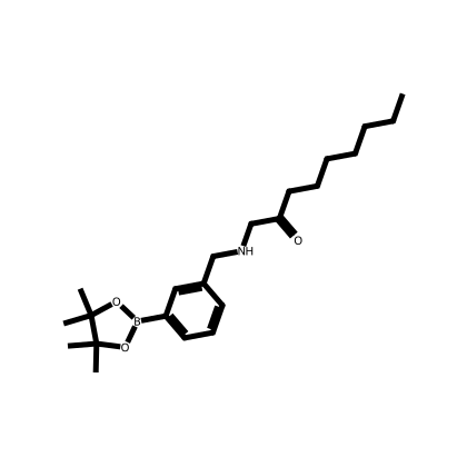 CCCCCCCC(=O)CNCc1cccc(B2OC(C)(C)C(C)(C)O2)c1